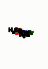 CC(=O)OC/C=C(\C)CC/C=C(\C)CBr